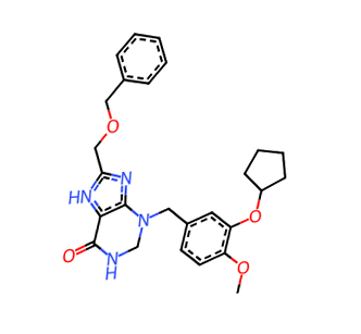 COc1ccc(CN2CNC(=O)c3[nH]c(COCc4ccccc4)nc32)cc1OC1CCCC1